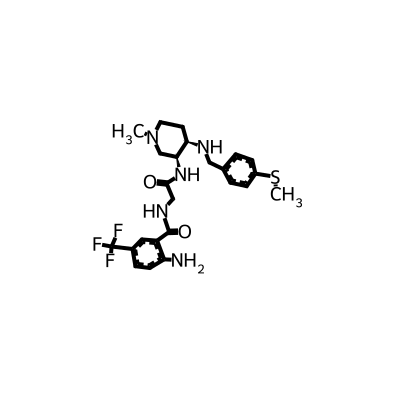 CSc1ccc(CN[C@@H]2CCN(C)C[C@@H]2NC(=O)CNC(=O)c2cc(C(F)(F)F)ccc2N)cc1